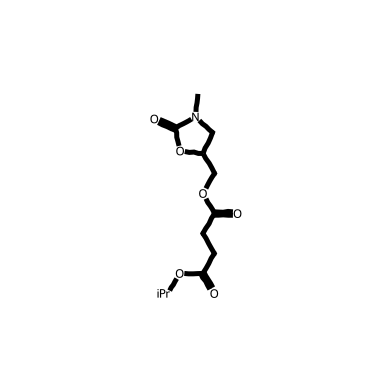 CC(C)OC(=O)CCC(=O)OCC1CN(C)C(=O)O1